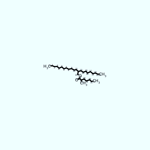 CCCCCCCCCCCCC(CCCCCCCCC)COC(=O)C(C)CCCCC